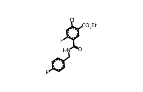 CCOC(=O)c1cc(C(=O)NCc2ccc(F)cc2)c(F)cc1Cl